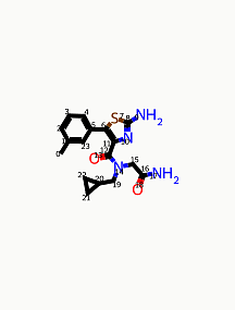 Cc1cccc(-c2sc(N)nc2C(=O)N(CC(N)=O)CC2CC2)c1